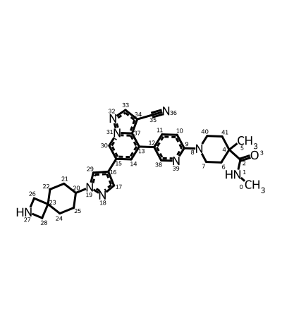 CNC(=O)C1(C)CCN(c2ccc(-c3cc(-c4cnn(C5CCC6(CC5)CNC6)c4)cn4ncc(C#N)c34)cn2)CC1